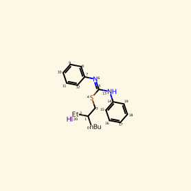 CCCCC(CC)CSC(=Nc1ccccc1)Nc1ccccc1.I